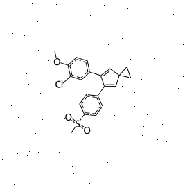 COc1ccc(C2=CC3(C=C2c2ccc(S(C)(=O)=O)cc2)CC3)cc1Cl